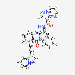 Cc1nn2cccnc2c1C(=O)N[C@H](C)c1nc2cccc(C#Cc3cnn4ccccc34)c2c(=O)n1-c1ccccc1